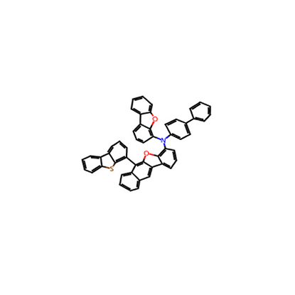 c1ccc(-c2ccc(N(c3cccc4c3oc3ccccc34)c3cccc4c3oc3c(-c5cccc6c5sc5ccccc56)c5ccccc5cc34)cc2)cc1